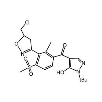 Cc1c(C(=O)c2cnn(C(C)(C)C)c2O)ccc(S(C)(=O)=O)c1C1=NOC(CCl)C1